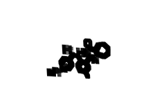 CCC[n+]1ccc(C(CC)Cc2ccc(C)cc2-c2nc3c(c(=O)[nH]2)=CCCCC=3)cc1